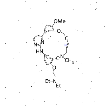 CCN(CC)CCOc1ccc2cc1CN(C)C/C=C/CCOc1cc(ccc1OC)-c1ccnc(n1)N2